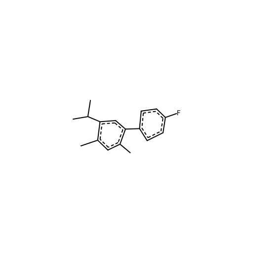 Cc1cc(C)c(C(C)C)cc1-c1ccc(F)cc1